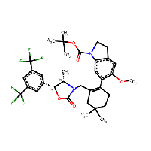 COc1cc2c(cc1C1=C(CN3C(=O)O[C@H](c4cc(C(F)(F)F)cc(C(F)(F)F)c4)[C@@H]3C)CC(C)(C)CC1)N(C(=O)OC(C)(C)C)CC2